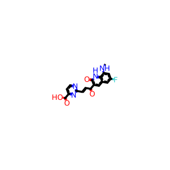 CNc1cc(F)cc2cc(C(=O)C=Cc3nccc(C(=O)O)n3)c(=O)[nH]c12